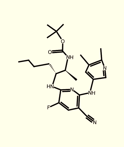 CCCC[C@@H](Nc1nc(Nc2cnc(C)c(C)c2)c(C#N)cc1F)[C@H](C)NC(=O)OC(C)(C)C